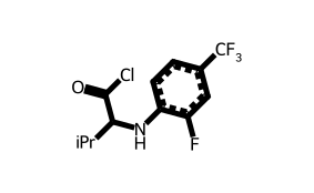 CC(C)C(Nc1ccc(C(F)(F)F)cc1F)C(=O)Cl